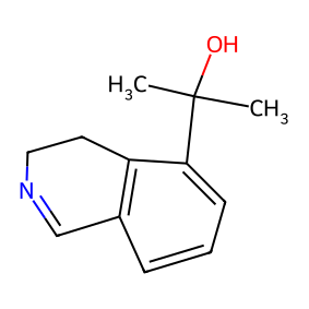 CC(C)(O)c1cccc2c1CCN=C2